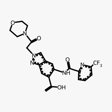 C=C(O)c1cc2nn(CC(=O)N3CCOCC3)cc2cc1NC(=O)c1cccc(C(F)(F)F)n1